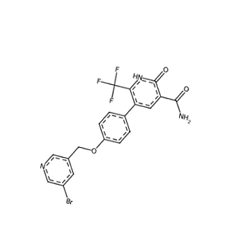 NC(=O)c1cc(-c2ccc(OCc3cncc(Br)c3)cc2)c(C(F)(F)F)[nH]c1=O